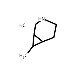 CC1C2CCNCC12.Cl